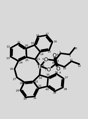 CCCC(=O)[O][Ti]1([O]C(=O)CCC)[CH]2c3ccccc3-c3cccc(c32)CCc2cccc3c2[CH]1c1ccccc1-3